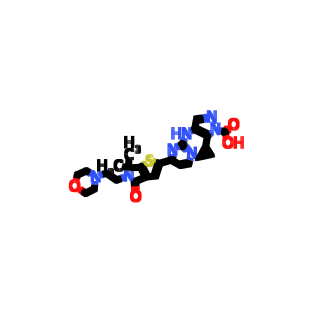 CC1(C)c2sc(-c3ccnc(Nc4cnn(C(=O)O)c4C4CC4)n3)cc2C(=O)N1CCN1CCOCC1